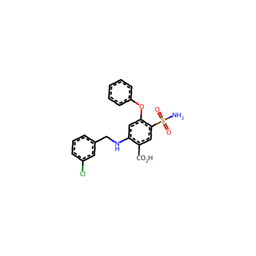 NS(=O)(=O)c1cc(C(=O)O)c(NCc2cccc(Cl)c2)cc1Oc1ccccc1